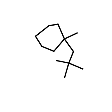 CC(C)(C)CC1(C)CCCCC1